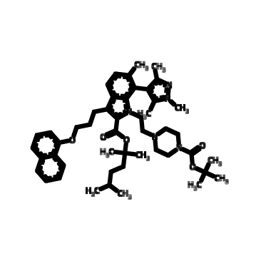 Cc1ccc2c(CCCOc3cccc4ccccc34)c(C(=O)OC(C)(C)CCC(C)C)n(CCN3CCN(C(=O)OC(C)(C)C)CC3)c2c1-c1c(C)nn(C)c1C